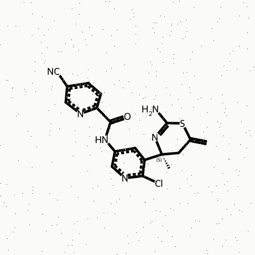 C=C1C[C@@](C)(c2cc(NC(=O)c3ccc(C#N)cn3)cnc2Cl)N=C(N)S1